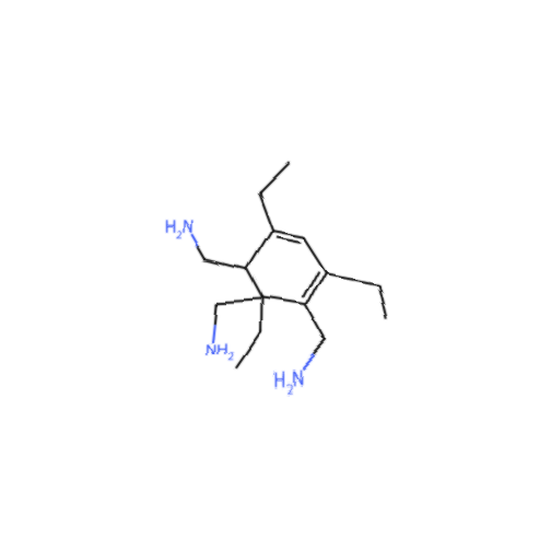 CCC1=CC(CC)=C(CN)C(CC)(CN)C1CN